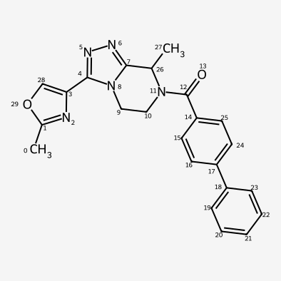 Cc1nc(-c2nnc3n2CCN(C(=O)c2ccc(-c4ccccc4)cc2)C3C)co1